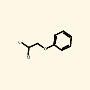 ClC(Cl)COc1ccccc1